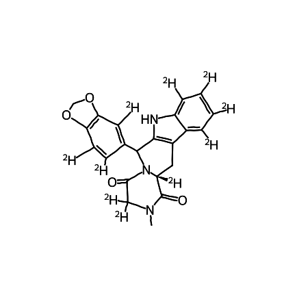 [2H]c1c([2H])c(C2c3[nH]c4c([2H])c([2H])c([2H])c([2H])c4c3C[C@]3([2H])C(=O)N(C)C([2H])([2H])C(=O)N23)c([2H])c2c1OCO2